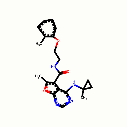 Cc1ccccc1OCCNC(=O)c1c(C)oc2ncnc(NC3(C)CC3)c12